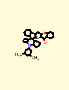 Cc1cc(C)cc(N2c3ccccc3C3(c4ccccc4-c4cc5sc6ccccc6c(=O)c5cc43)c3ccccc32)c1